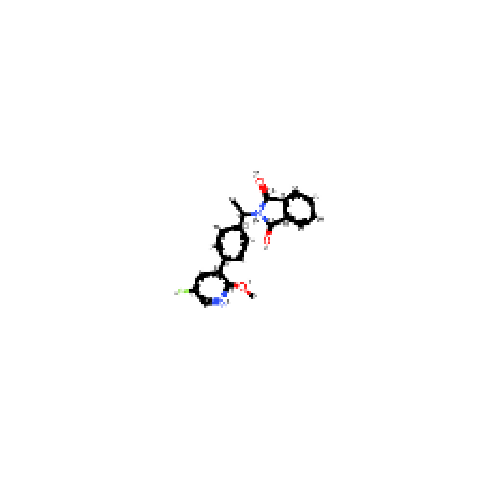 COc1ncc(F)cc1-c1ccc(C(C)N2C(=O)c3ccccc3C2=O)cc1